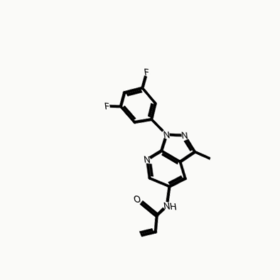 C=CC(=O)Nc1cnc2c(c1)c(C)nn2-c1cc(F)cc(F)c1